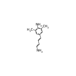 Cc1cc(C=CC=CN)cc(C)c1N